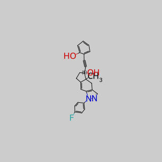 CC12Cc3cnn(-c4ccc(F)cc4)c3C=C1CC[C@@]2(O)C#Cc1ccccc1O